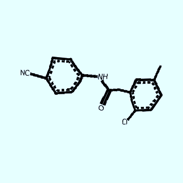 Cc1ccc(Cl)c(C(=O)Nc2ccc(C#N)cc2)c1